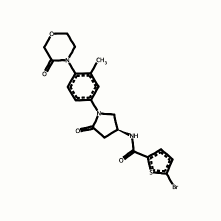 Cc1cc(N2C[C@@H](NC(=O)c3ccc(Br)s3)CC2=O)ccc1N1CCOCC1=O